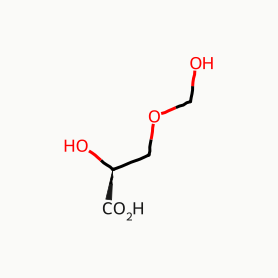 O=C(O)[C@@H](O)COCO